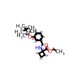 CCOC(=O)C1(NCc2cccc(O[Si](C)(C)C(C)(C)C)c2)CCC1